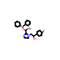 CC(C)(C)C(O[SiH](c1ccccc1)c1ccccc1)c1nccn1CC(O)c1ccc(F)cc1